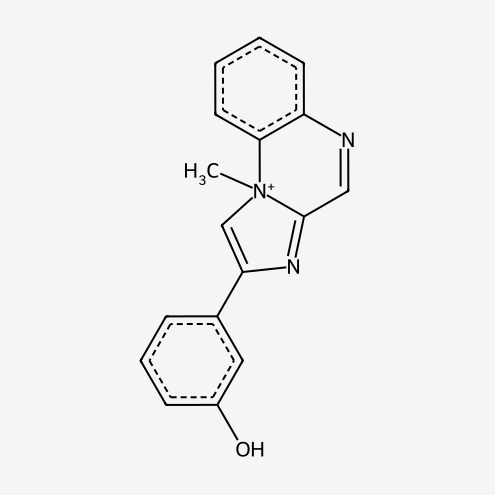 C[N+]12C=C(c3cccc(O)c3)N=C1C=Nc1ccccc12